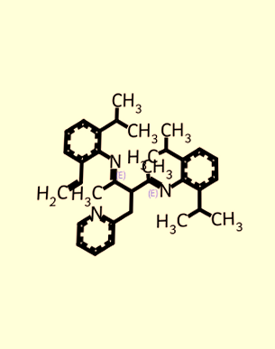 C=Cc1cccc(C(C)C)c1/N=C(\C)C(Cc1ccccn1)/C(C)=N/c1c(C(C)C)cccc1C(C)C